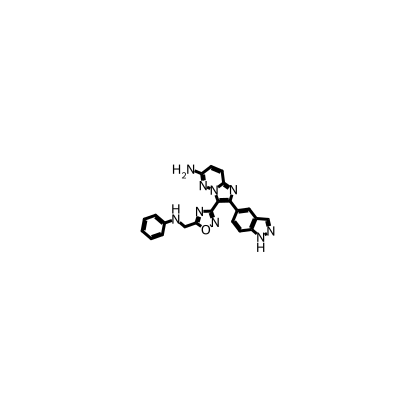 Nc1ccc2nc(-c3ccc4[nH]ncc4c3)c(-c3noc(CNc4ccccc4)n3)n2n1